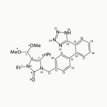 CCCc1c(C(OC)OC)n(CC)c(=O)n1Cc1ccc(-c2ccccc2-c2nnn[nH]2)cc1